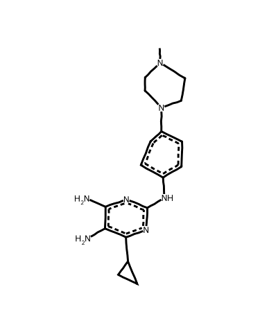 CN1CCN(c2ccc(Nc3nc(N)c(N)c(C4CC4)n3)cc2)CC1